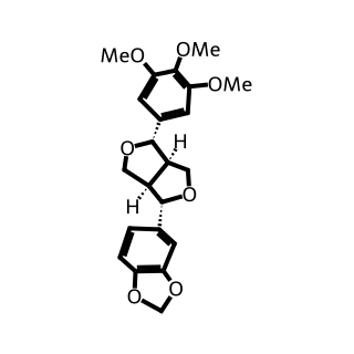 COc1cc([C@H]2OC[C@H]3[C@@H]2CO[C@@H]3c2ccc3c(c2)OCO3)cc(OC)c1OC